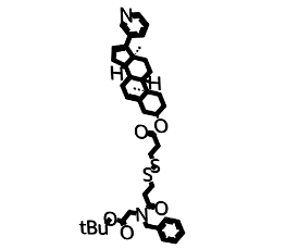 CC(C)(C)OC(=O)CN(Cc1ccccc1)C(=O)CCSSCCC(=O)O[C@H]1CC[C@@]2(C)C(=CCC3[C@@H]2CC[C@]2(C)C(c4cccnc4)=CC[C@@H]32)C1